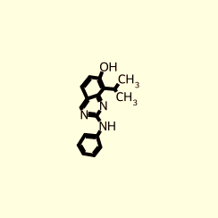 CC(C)c1c(O)ccc2cnc(Nc3ccccc3)nc12